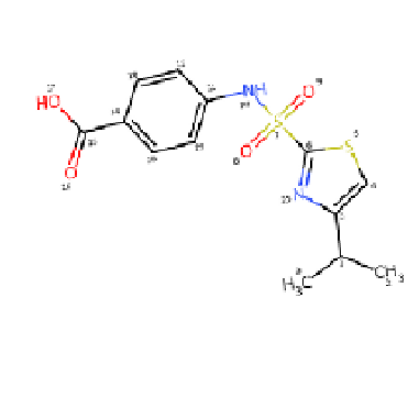 CC(C)c1csc(S(=O)(=O)Nc2ccc(C(=O)O)cc2)n1